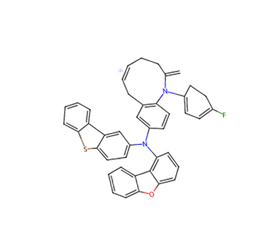 C=C1CC/C=C\Cc2cc(N(c3ccc4sc5ccccc5c4c3)c3cccc4oc5ccccc5c34)ccc2N1C1=CC=C(F)CC1